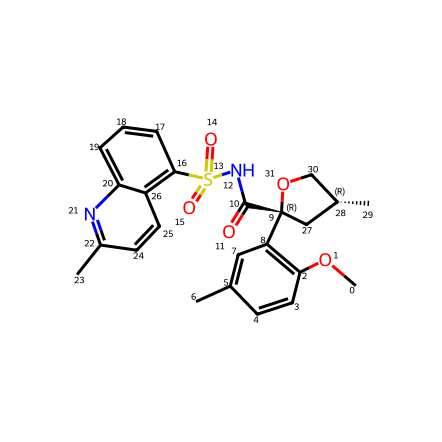 COc1ccc(C)cc1[C@@]1(C(=O)NS(=O)(=O)c2cccc3nc(C)ccc23)C[C@@H](C)CO1